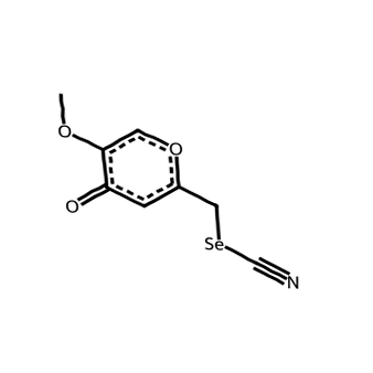 COc1coc(C[Se]C#N)cc1=O